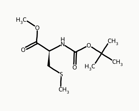 COC(=O)[C@H](CSC)NC(=O)OC(C)(C)C